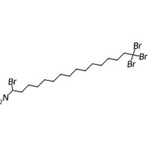 NC(Br)CCCCCCCCCCCCCCC(Br)(Br)Br